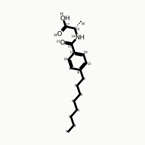 CCCCCCCCc1ccc(C(=O)N[C@@H](C)C(=O)O)cc1